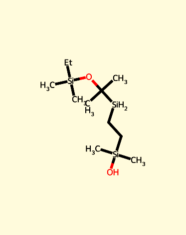 CC[Si](C)(C)OC(C)(C)[SiH2]CC[Si](C)(C)O